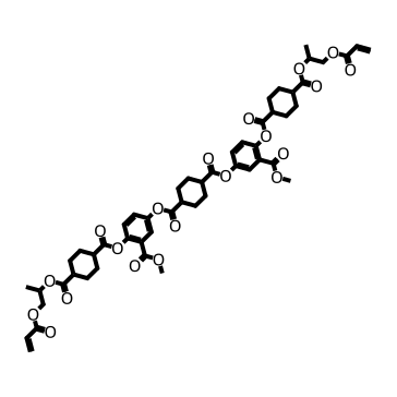 C=CC(=O)OCC(C)OC(=O)C1CCC(C(=O)Oc2ccc(OC(=O)C3CCC(C(=O)Oc4ccc(OC(=O)C5CCC(C(=O)OC(C)COC(=O)C=C)CC5)c(C(=O)OC)c4)CC3)cc2C(=O)OC)CC1